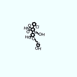 O=C1NC(=O)c2c1c(-c1ccccc1Cl)cc1c2c2cc(O)c(OCCCN3CCC(O)C3)cc2n1CCO